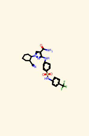 N#CC1CCCCC1n1cc(C(N)=O)c(Nc2ccc(S(=O)(=O)Nc3ccc(C(F)(F)F)cc3)cc2)n1